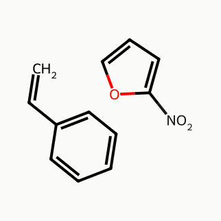 C=Cc1ccccc1.O=[N+]([O-])c1ccco1